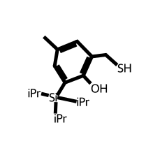 Cc1cc(CS)c(O)c([Si](C(C)C)(C(C)C)C(C)C)c1